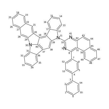 c1ccc(-c2ccc(-c3nc(-n4c5ccccc5c5c6c7cc8ccccc8cc7n7c8ccccc8c(cc54)c67)nc4ccc5ccccc5c34)cc2)cc1